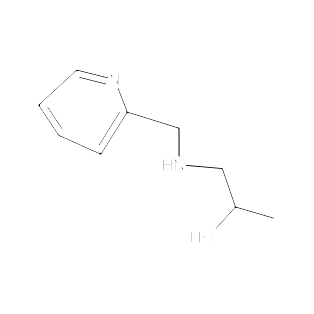 CC(O)CNCc1ccccn1